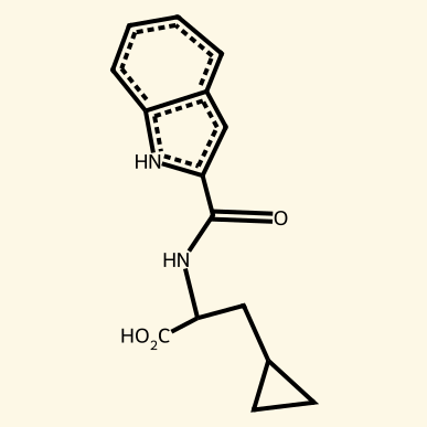 O=C(NC(CC1CC1)C(=O)O)c1cc2ccccc2[nH]1